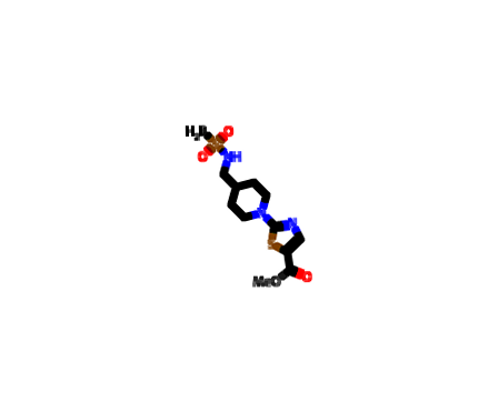 BS(=O)(=O)NCC1CCN(c2ncc(C(=O)OC)s2)CC1